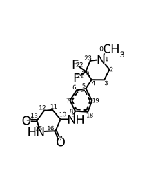 CN1CCC(c2ccc(NC3CCC(=O)NC3=O)cc2)C(F)(F)C1